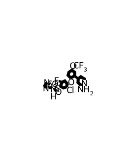 Nc1cc(-c2cc(OC(F)(F)F)ccc2Oc2cc(F)c(S(=O)(=O)Nc3ncns3)cc2Cl)ccn1